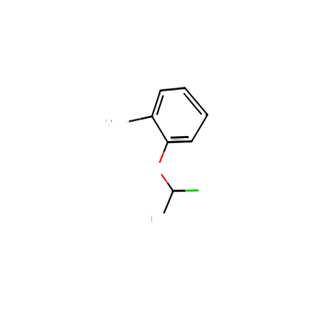 COc1ccccc1OC(C)Cl